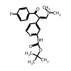 CN(C)/C=C(\C(=O)c1ccc(F)cc1)c1ccnc(NC(=O)OC(C)(C)C)c1